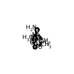 CC#CCn1c(N2CCC[C@H](N)C2)nc2c1c(=O)n(CC(=O)c1ccccc1NC(=O)C(C)C)c(=O)n2C